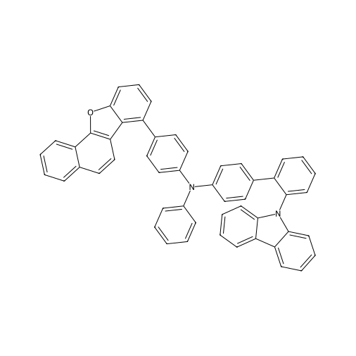 c1ccc(N(c2ccc(-c3ccccc3-n3c4ccccc4c4ccccc43)cc2)c2ccc(-c3cccc4oc5c6ccccc6ccc5c34)cc2)cc1